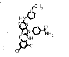 CCN1CCC[C@@H](Nc2ncc3nc(Nc4c(F)cc(Cl)cc4Cl)n([C@H]4CC[C@H](C(N)=O)CC4)c3n2)C1